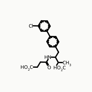 CC(C(=O)O)C(Cc1ccc(-c2cccc(Cl)c2)cc1)NC(=O)CCC(=O)O